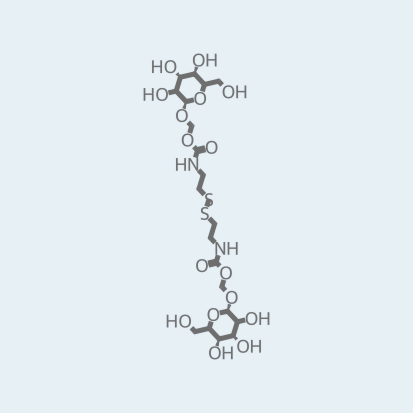 O=C(NCCSSCCNC(=O)OCO[C@@H]1OC(CO)[C@H](O)[C@H](O)C1O)OCO[C@@H]1OC(CO)[C@H](O)[C@H](O)C1O